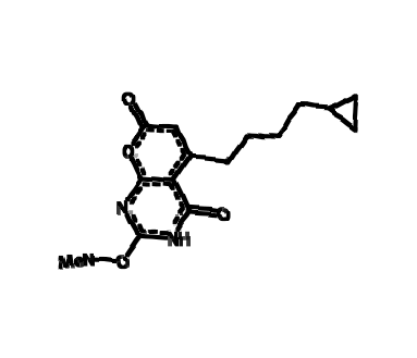 CNOc1nc2oc(=O)cc(CCCCC3CC3)c2c(=O)[nH]1